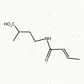 CC=CC(=O)NCCC(C)C(=O)O